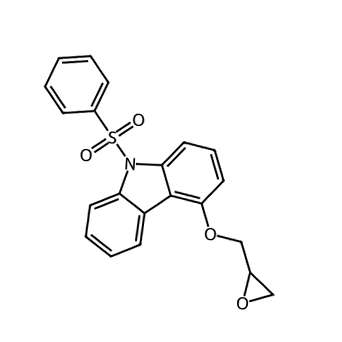 O=S(=O)(c1ccccc1)n1c2ccccc2c2c(OCC3CO3)cccc21